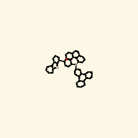 c1ccc2c(c1)ccc1cccc(N(c3ccc(-c4cccc5c4oc4ccccc45)cc3)c3ccc4c5ccccc5c5ccccc5c4c3)c12